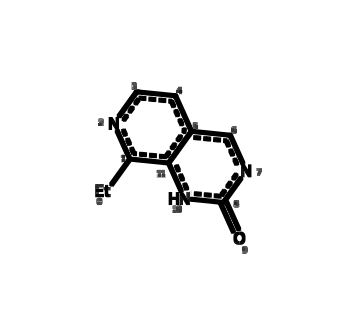 CCc1nccc2cnc(=O)[nH]c12